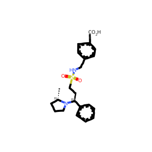 C[C@H]1CCCN1[C@@H](CCS(=O)(=O)NCc1ccc(C(=O)O)cc1)c1ccccc1